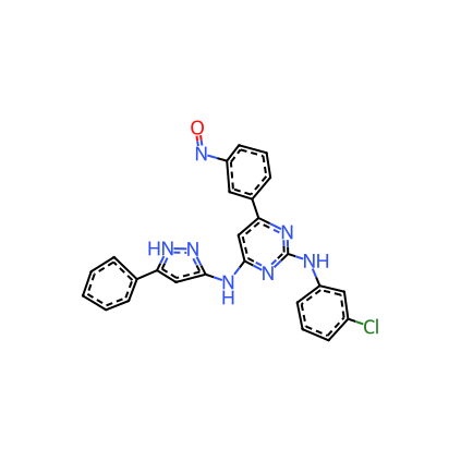 O=Nc1cccc(-c2cc(Nc3cc(-c4ccccc4)[nH]n3)nc(Nc3cccc(Cl)c3)n2)c1